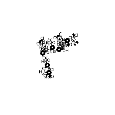 C=C(Cl)CSC(=S)N(CC)CC.CCN(C(=O)NS(=O)(=O)c1ccccc1C(=O)O)c1nc(Cl)cc(OC)n1.CON(C)C(=O)Nc1ccc(Br)c(Cl)c1.CON(C)C(=O)Nc1ccc(Br)c(Cl)c1.COc1cc(Cl)nc(NC(=O)NS(=O)(=O)c2ccccc2C(=O)O)n1.Nc1cc(Cl)cc(C(=O)O)c1Cl.Nc1cc(Cl)cc(C(=O)O)c1Cl